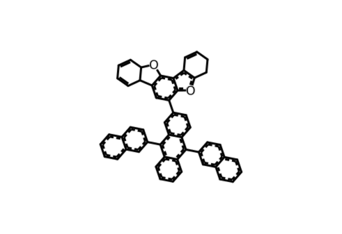 C1=CC2Oc3c(cc(-c4ccc5c(-c6ccc7ccccc7c6)c6ccccc6c(-c6ccc7ccccc7c6)c5c4)c4oc5c(c34)C=CCC5)C2C=C1